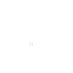 CCC1(c2cccc(F)c2)CCN(C[C@H]2CC3CCC=CC32)CC1